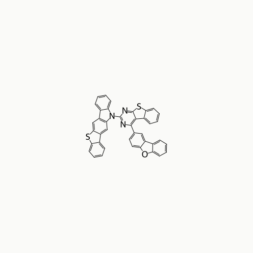 c1ccc2c(c1)oc1ccc(-c3nc(-n4c5ccccc5c5cc6sc7ccccc7c6cc54)nc4sc5ccccc5c34)cc12